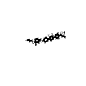 C=CCCOc1ccc(COC2CCC(c3ccc(-c4ccc(C(O)CCC)cc4)c(F)c3F)CC2)cc1F